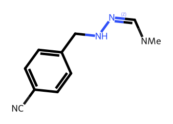 CN/C=N\NCc1ccc(C#N)cc1